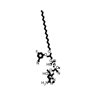 CCCCCCCCCCCCCCCCCCOCC(COc1cc(F)cc(C#N)c1)COP(=O)(O)OC[C@@](C#N)(OC)[C@H](Cc1ccc2c(N)ncnn12)OC(C)(C)O